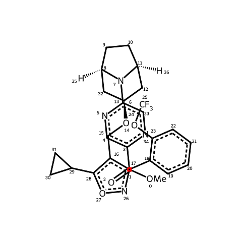 COC(=O)c1cnc(N2[C@@H]3CC[C@H]2C[C@@H](OCc2c(-c4ccccc4OC(F)(F)F)noc2C2CC2)C3)cn1